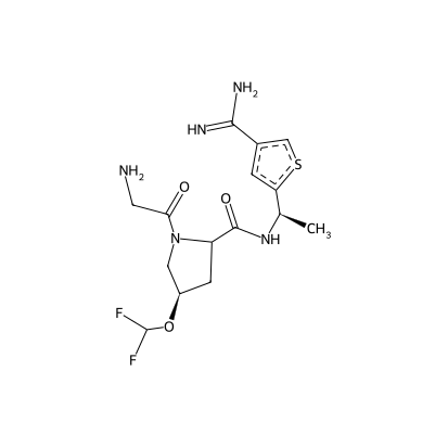 C[C@@H](NC(=O)C1C[C@@H](OC(F)F)CN1C(=O)CN)c1cc(C(=N)N)cs1